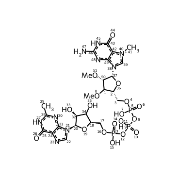 COC1[C@@H](COP(=O)(O)OP(=O)(O)OP(=O)(O)OC[C@H]2O[C@@H](n3cnc4c(=O)[nH]c(C)nc43)[C@@H](O)C2O)O[C@@H](n2c[n+](C)c3c(=O)[nH]c(N)nc32)[C@H]1OC